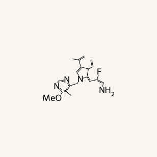 C=CC1C(C(=C)C)=CN(Cc2ncnc(OC)c2C)/C1=C/C(F)=C\N